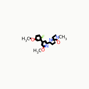 CCOc1ccc(F)c(-c2cc(OC)nc(C3=N[C@]4(CC3)CCN(C)C4=O)c2)c1